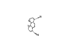 N#Cc1ccnc2c1ccc1c(C#N)ccnc12